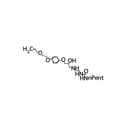 C=CCOCCOc1ccc(OCC(O)CNCCNC(=O)NCCCCC)cc1